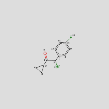 O=C(C1CC1)C(Br)c1ccc(F)cc1